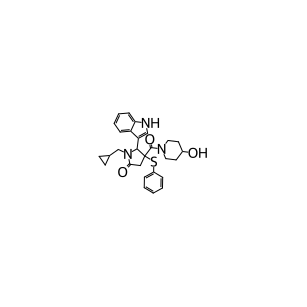 O=C1CC(Sc2ccccc2)(C(=O)N2CCC(O)CC2)C(c2c[nH]c3ccccc23)N1CC1CC1